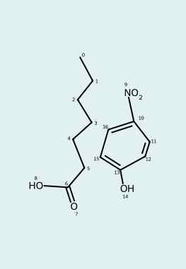 CCCCCCC(=O)O.O=[N+]([O-])c1ccc(O)cc1